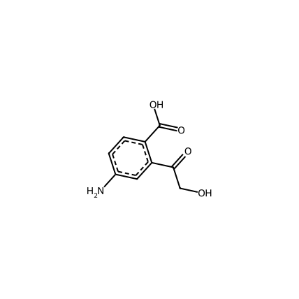 Nc1ccc(C(=O)O)c(C(=O)CO)c1